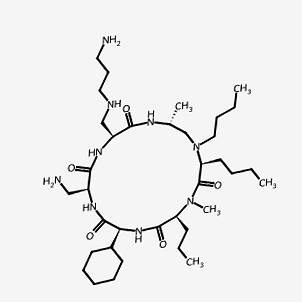 CCCC[C@H]1C(=O)N(C)[C@@H](CCC)C(=O)N[C@@H](C2CCCCC2)C(=O)N[C@@H](CN)C(=O)N[C@@H](CNCCCN)C(=O)N[C@H](C)CN1CCCC